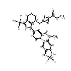 COC(=O)C12CC(CN3CCCc4c(C(F)(F)F)nn(-c5cccc(OC(C)c6ccc7c(c6)OC(F)(F)O7)c5)c43)(C1)C2